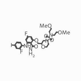 COCCN(CCOC)S(=O)(=O)N1CCOC(COc2cc(F)cc(Nc3ccc(I)cc3F)c2C(N)=O)C1